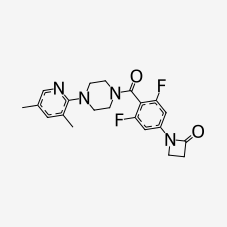 Cc1cnc(N2CCN(C(=O)c3c(F)cc(N4CCC4=O)cc3F)CC2)c(C)c1